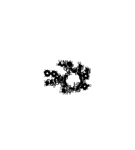 CN[C@H](O)[C@H](CC(=O)OC(C)(C)C)CC(=O)[C@H](Cc1ccc(-c2ccccc2)cc1)NC(=O)[C@@H]1CSSC[C@H](CC(=O)[C@@H]2CCCN2[C@H](O)[C@@H](N)CC(C)C)C(=O)N[C@@H](CC(=O)OC(C)(C)C)C(=O)C[C@@H](Cc2ccc(OC(C)(C)C)cc2)C(=O)N[C@@H](Cc2ccc(C)cc2)C(=O)CC[C@@H](O)N[C@@H](C(C)OC(C)(C)C)C(=O)C1